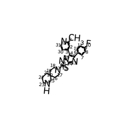 Cc1cc(-c2c(-c3ccc(F)cc3)nc3sc(N4CCC5(CCCNC5)CC4)nn23)ccn1